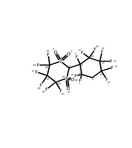 O=S1(=O)C(C2(F)C(F)(F)CC(F)(F)C(F)(F)C2(F)F)S(=O)(=O)C(F)(F)C(F)(F)C1(F)F